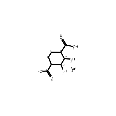 O=C([O-])C1CCC(C(=O)O)C(S)C1S.[Au+]